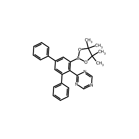 CC1(C)OB(c2cc(-c3ccccc3)cc(-c3ccccc3)c2-c2ncncn2)OC1(C)C